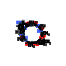 C/C=C(\C)[C@H]1OC(=O)[C@@H](C)NC(=O)[C@H](C(C)CC)NC(=O)CN(C)C(=O)[C@H]2Cc3c[nH]c4cccc(c34)N2C(=O)[C@H](C)NC(=O)[C@@H](CC(C)C)NC(=O)/C(C)=C/C[C@H](O)[C@@H]1C